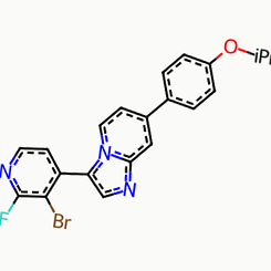 CC(C)Oc1ccc(-c2ccn3c(-c4ccnc(F)c4Br)cnc3c2)cc1